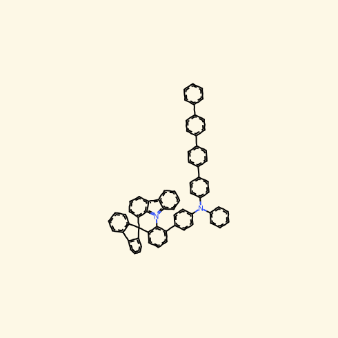 c1ccc(-c2ccc(-c3ccc(-c4ccc(N(c5ccccc5)c5ccc(-c6cccc7c6-n6c8ccccc8c8cccc(c86)C76c7ccccc7-c7ccccc76)cc5)cc4)cc3)cc2)cc1